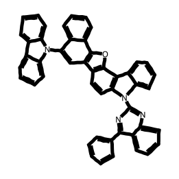 c1ccc(-c2nc(-n3c4ccccc4c4c5oc6c7ccccc7c(-n7c8ccccc8c8ccccc87)cc6c5ccc43)nc3ccccc23)cc1